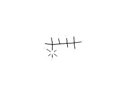 FC(F)(F)C(F)(F)C(F)(F)C(F)(F)S(F)(F)(F)(F)F